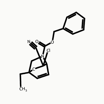 CCC12C=CC(N(C(=O)OCc3ccccc3)C1)C(Cl)(C#N)C2